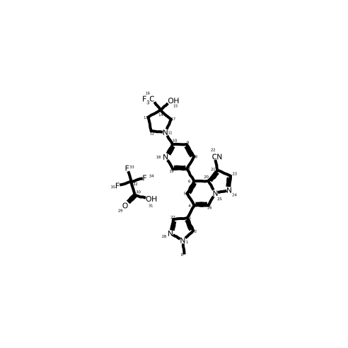 Cn1cc(-c2cc(-c3ccc(N4CCC(O)(C(F)(F)F)C4)nc3)c3c(C#N)cnn3c2)cn1.O=C(O)C(F)(F)F